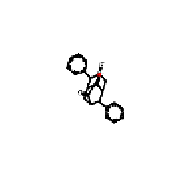 [N-]=[N+]=C1C2CC3C(=O)C(CC1C3c1ccccc1)C2c1ccccc1